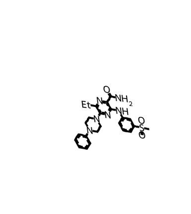 CCc1nc(C(N)=O)c(Nc2cccc(S(C)(=O)=O)c2)nc1N1CCN(c2ccccc2)CC1